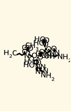 C=CCCC(=O)N[C@@H](CCS(C)(=O)=O)C(=O)O[C@H]1[C@@H](O)[C@H](n2cnc3c(N)ncnc32)O[C@@H]1COP(=O)(O)O[C@H]1[C@@H](O)[C@H](n2ccc(N)nc2=O)O[C@@H]1COP(=O)(O)O